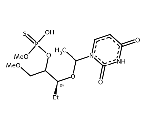 CC[C@H](OC(C)n1ccc(=O)[nH]c1=O)C(COC)OP(O)(=S)OC